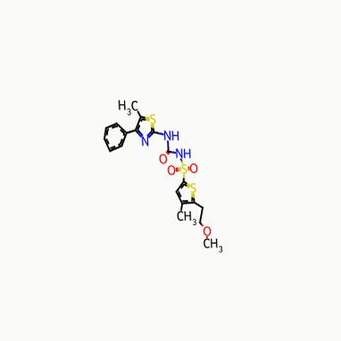 COCCc1sc(S(=O)(=O)NC(=O)Nc2nc(-c3ccccc3)c(C)s2)cc1C